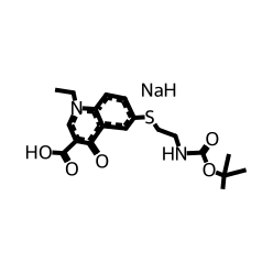 CCn1cc(C(=O)O)c(=O)c2cc(SCCNC(=O)OC(C)(C)C)ccc21.[NaH]